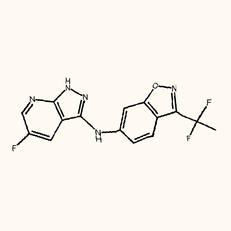 CC(F)(F)c1noc2cc(Nc3n[nH]c4ncc(F)cc34)ccc12